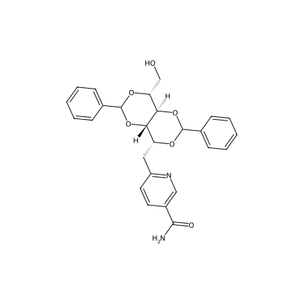 NC(=O)c1ccc(C[C@H]2OC(c3ccccc3)O[C@H]3[C@H]2OC(c2ccccc2)O[C@@H]3CO)nc1